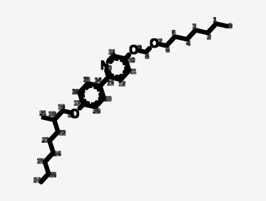 CCCCCCCOCOc1ccc(-c2ccc(OCC(C)CCCCCC)cc2)nc1